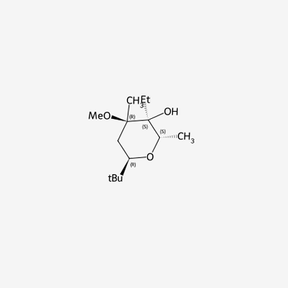 CC[C@]1(O)[C@H](C)O[C@@H](C(C)(C)C)C[C@@]1(C)OC